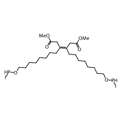 COC(=O)C/C(CCCCCCCCOPI)=C(/CCCCCCCCOPI)CC(=O)OC